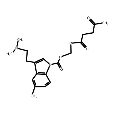 CC(=O)CCC(=O)OCOC(=O)n1cc(CCN(C)C)c2cc(C)ccc21